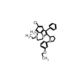 CCOc1cc[c]c(N2CCCC2c2c(-c3ccccc3)c3cc(Cl)ccc3n2CCN(CC)CC)c1